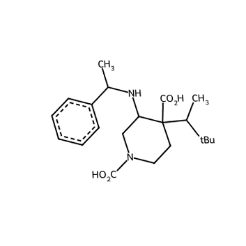 CC(NC1CN(C(=O)O)CCC1(C(=O)O)C(C)C(C)(C)C)c1ccccc1